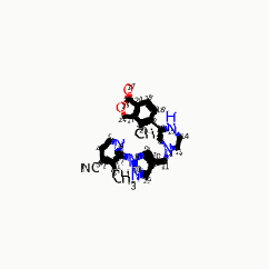 Cc1c(C#N)ccnc1-n1cc(CN2CCN[C@H](c3ccc4c(c3C)COC4=O)C2)cn1